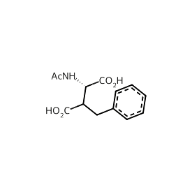 CC(=O)N[C@H](C(=O)O)C(Cc1ccccc1)C(=O)O